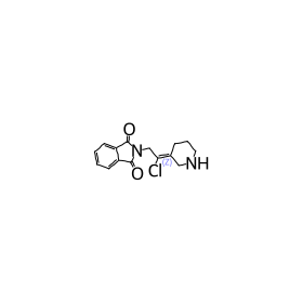 O=C1c2ccccc2C(=O)N1C/C(Cl)=C1\CCCNC1